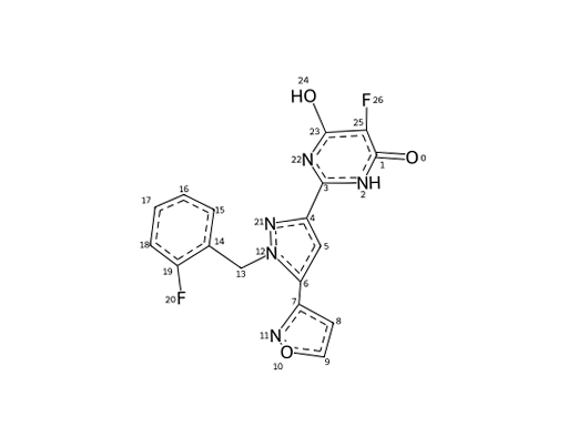 O=c1[nH]c(-c2cc(-c3ccon3)n(Cc3ccccc3F)n2)nc(O)c1F